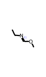 CC/N=[C]/OC